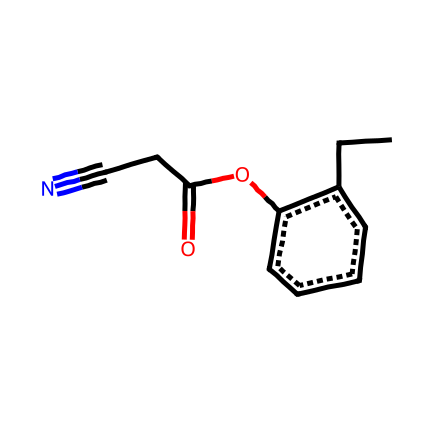 CCc1ccccc1OC(=O)CC#N